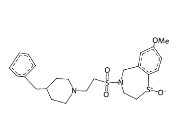 COc1ccc2c(c1)CN(S(=O)(=O)CCN1CCC(Cc3ccccc3)CC1)CC[S+]2[O-]